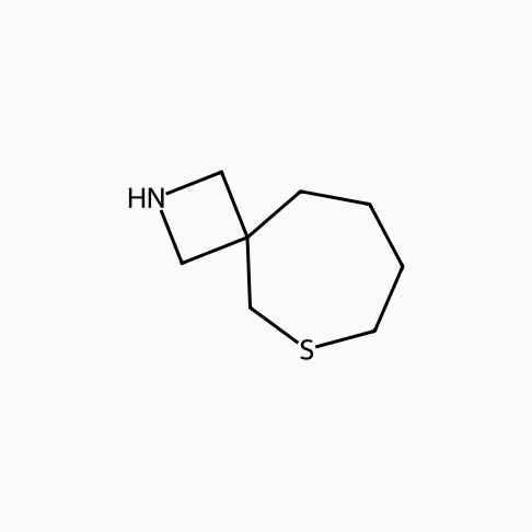 C1CCC2(CNC2)CSC1